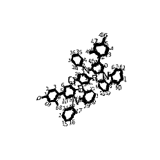 Cc1ccc(-c2cc3c4c(c2)N(c2ccccc2)c2ccccc2B4c2cc4c(cc2O3)N(c2ccccc2)c2cc(-c3ccc(C)cc3C)cc3c2B4c2cccc4c5ccccc5n-3c24)c(C)c1